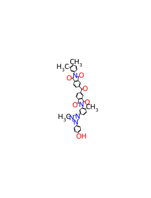 Cc1ccc(N2C(=O)c3ccc(C(=O)c4ccc5c(c4)C(=O)N(c4cc(N6CN(C)CN(c7ccc(O)cc7)C6)ccc4C)C5=O)cc3C2=O)cc1C